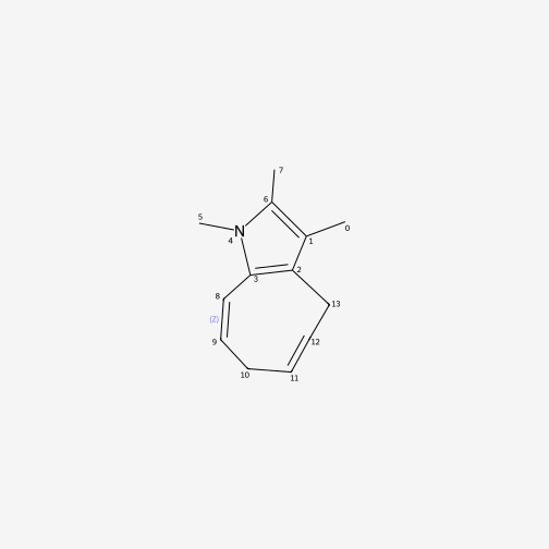 Cc1c2c(n(C)c1C)/C=C\CC=CC2